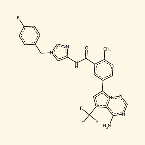 Cc1ncc(-c2cc(C(F)(F)F)c3c(N)ncnn23)cc1C(=O)Nc1cn(Cc2ccc(F)cc2)cn1